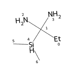 CCC(N)(N)[SiH](C)C